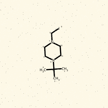 CC(C)(C)N1CCN(CI)CC1